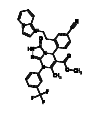 COC(=O)C1=C(C)N(c2cccc(C(F)(F)F)c2)c2n[nH]c(=O)n2C1c1ccc(C#N)cc1CC[n+]1ccn2ccccc21